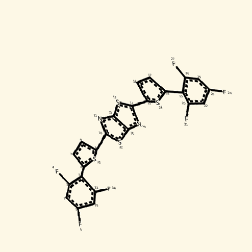 Fc1cc(F)c(-c2ccc(-c3nc4sc(-c5ccc(-c6c(F)cc(F)cc6F)s5)nc4s3)s2)c(F)c1